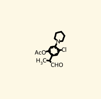 CC(=O)Oc1cc(N2CCCCC2)c(Cl)cc1C(C)C=O